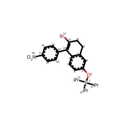 CC(C)[Si](Oc1ccc2c(c1)CCC(Br)=C2c1ccc([N+](=O)[O-])cc1)(C(C)C)C(C)C